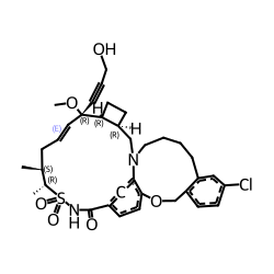 CO[C@@]1(C#CCO)/C=C/C[C@H](C)[C@@H](C)S(=O)(=O)NC(=O)c2ccc3c(c2)N(CCCCc2cc(Cl)ccc2CO3)C[C@@H]2CC[C@H]21